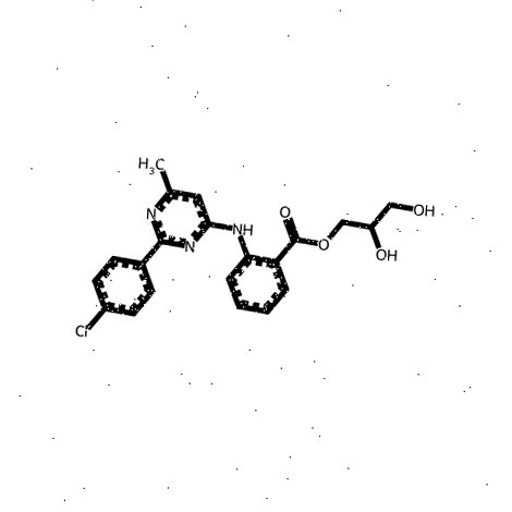 Cc1cc(Nc2ccccc2C(=O)OCC(O)CO)nc(-c2ccc(Cl)cc2)n1